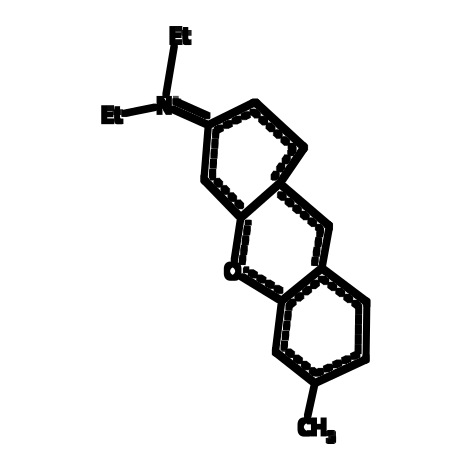 CC[N+](CC)=c1ccc2cc3ccc(C)cc3oc-2c1